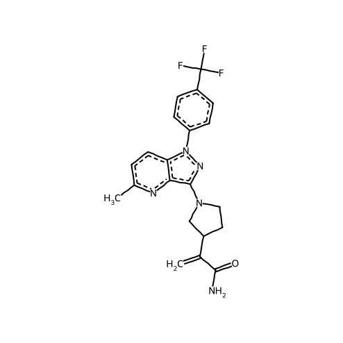 C=C(C(N)=O)C1CCN(c2nn(-c3ccc(C(F)(F)F)cc3)c3ccc(C)nc23)C1